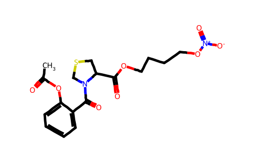 CC(=O)Oc1ccccc1C(=O)N1CSCC1C(=O)OCCCCO[N+](=O)[O-]